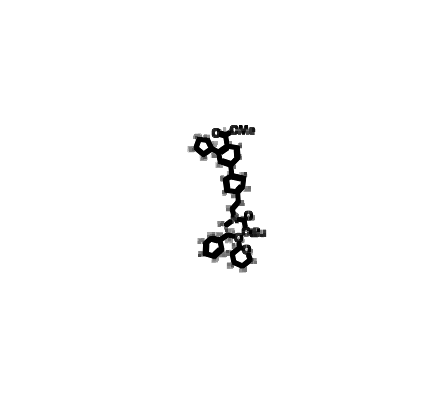 COC(=O)c1ccc(-c2ccc(CCN(C[C@H](OC3CCCCO3)c3ccccc3)C(=O)OC(C)(C)C)cc2)cc1C1CCCC1